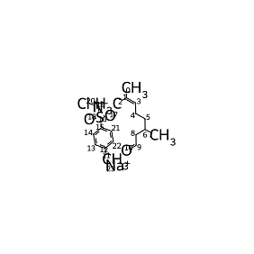 CC(C)=CCCC(C)CC=O.Cc1ccc(S(=O)(=O)[N-]Cl)cc1.[Na+]